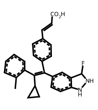 Cc1ccccc1/C(=C(\c1ccc(/C=C/C(=O)O)cc1)c1ccc2c(c1)C(F)NN2)C1CC1